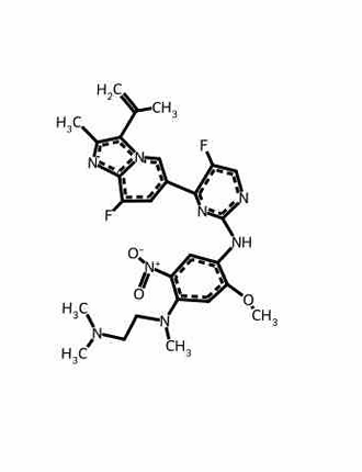 C=C(C)c1c(C)nc2c(F)cc(-c3nc(Nc4cc([N+](=O)[O-])c(N(C)CCN(C)C)cc4OC)ncc3F)cn12